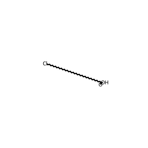 O=C(O)CCCCCCCCCCCCCCCCCCCCCCCCCCCCCCCCCCCCCl